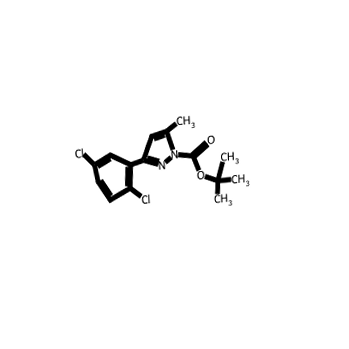 Cc1cc(-c2cc(Cl)ccc2Cl)nn1C(=O)OC(C)(C)C